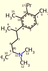 Cc1ccc(C(C)CC[C@@H](C)N(C)C)c(C)c1C(C)C